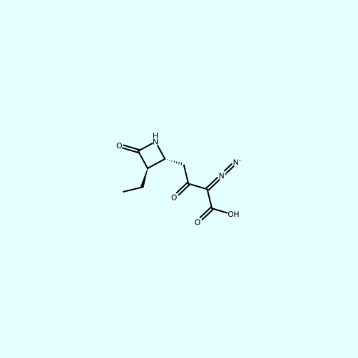 CC[C@H]1C(=O)N[C@@H]1CC(=O)C(=[N+]=[N-])C(=O)O